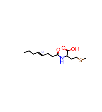 CCC/C=C/CCC(=O)NC(CCSC)C(=O)O